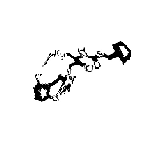 O=C(O)CC(NC(=O)SCc1ccccc1)C(=O)Cn1nnnc1Cc1c(Cl)cccc1Cl